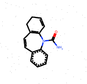 NC(=O)N1C2=C(C=Cc3ccccc31)CCC=C2